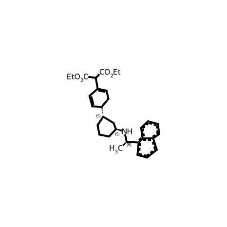 CCOC(=O)C(C(=O)OCC)C1=CCC([C@H]2CCC[C@H](N[C@H](C)c3cccc4ccccc34)C2)C=C1